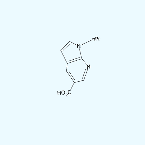 CCCn1ccc2cc(C(=O)O)cnc21